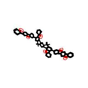 CC1(C)c2cc3c(cc2-c2c1cc(-c1ccc4c(c1)oc1cc5c(cc14)oc1ccccc15)c1c2oc2ccccc21)C(C)(C)c1cc(-c2ccc4c(c2)oc2cc5c(cc24)oc2ccccc25)c2c(oc4ccccc42)c1-3